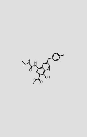 CCNC(=O)Nc1nc(C(=O)OC)c(O)c2ncc(Cc3ccc(F)cc3)cc12